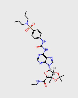 CCCN(CCC)S(=O)(=O)c1ccc(NC(=O)Nc2ncnc3c2ncn3[C@@H]2O[C@H](C(=O)NCC)[C@H]3OC(C)(C)O[C@H]32)cc1